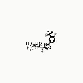 CC(C)(C)OC(=O)Nc1coc(-c2ccc(F)c(C(F)(F)F)c2)n1